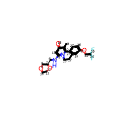 Cc1c2n(c(NC[C@@H]3COCCO3)cc1=O)CCc1cc(OCC(F)F)ccc1-2